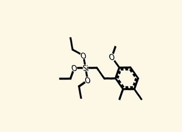 CCO[Si](CCc1c(OC)ccc(C)c1C)(OCC)OCC